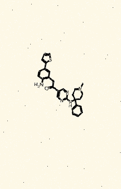 CN1CCC(Nc2ncc(C(=O)Cc3cc(-c4cccs4)ccc3N)cn2)(c2ccccc2)CC1